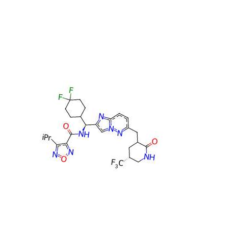 CC(C)c1nonc1C(=O)N[C@H](c1cn2nc(CC3C[C@@H](C(F)(F)F)CNC3=O)ccc2n1)C1CCC(F)(F)CC1